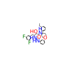 CCc1cccc(C2(NCC(O)C(Cc3cc(F)cc(F)c3)NC(=O)Nc3ccccc3)CCOCC2)c1